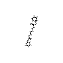 O=C(CCSSCCC(=O)Oc1ccccc1)Oc1ccccc1